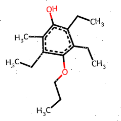 CCCOc1c(CC)c(C)c(O)c(CC)c1CC